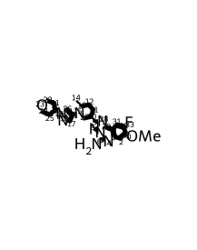 COc1cc2nc(N)n3nc([C@@H]4CC[C@H](C)N(c5cnn(C6CCOCC6)c5)C4)nc3c2cc1F